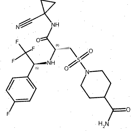 N#CC1(NC(=O)[C@H](CS(=O)(=O)N2CCC(C(N)=O)CC2)N[C@@H](c2ccc(F)cc2)C(F)(F)F)CC1